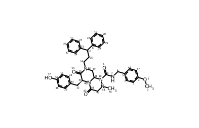 COc1ccc(CNC(=O)N2C3CN(CCC(c4ccccc4)c4ccccc4)C(=O)[C@H](Cc4ccc(O)cc4)N3C(=O)CN2C)cc1